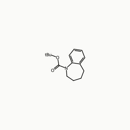 CC(C)(C)OC(=O)N1CCCCc2ccccc21